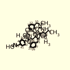 CC[C@H](C)[C@H](NC(=O)N(C)Cc1cccnc1)C(=O)N[C@@H](Cc1ccccc1)[C@@H](O)CN(CC(C)C)S(=O)(=O)c1ccc(C=NO)cc1